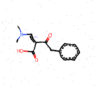 CN(C)/C=C(\C(=O)O)C(=O)Cc1ccccc1